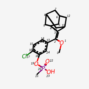 COC(=C1C2CC3CC(C2)CC1C3)c1ccc(Cl)c(OP(C)(=O)O)c1